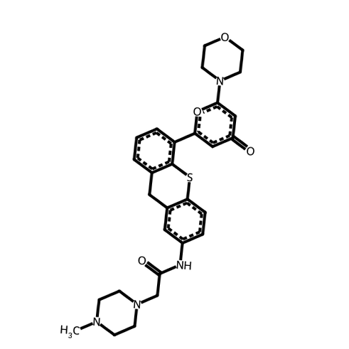 CN1CCN(CC(=O)Nc2ccc3c(c2)Cc2cccc(-c4cc(=O)cc(N5CCOCC5)o4)c2S3)CC1